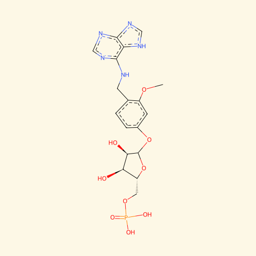 COc1cc(OC2O[C@H](COP(=O)(O)O)[C@@H](O)[C@H]2O)ccc1CNc1ncnc2nc[nH]c12